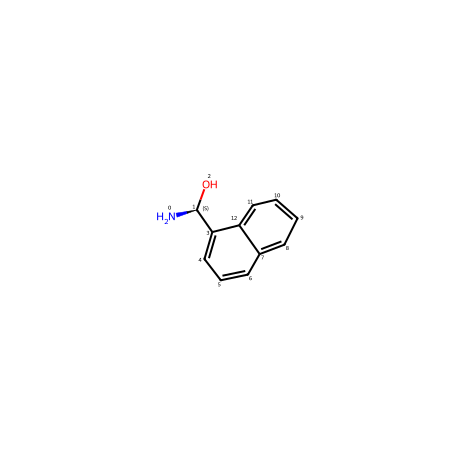 N[C@@H](O)c1cccc2ccccc12